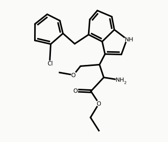 CCOC(=O)C(N)C(COC)c1c[nH]c2cccc(Cc3ccccc3Cl)c12